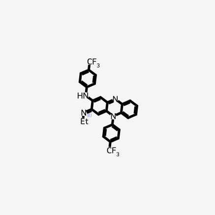 CC/N=c1\cc2n(-c3ccc(C(F)(F)F)cc3)c3ccccc3nc-2cc1Nc1ccc(C(F)(F)F)cc1